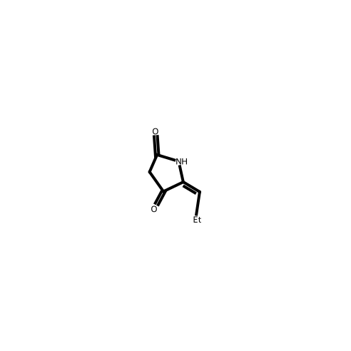 CC/C=C1/NC(=O)CC1=O